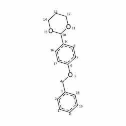 c1ccc(COc2ccc(C3OCCCO3)cc2)cc1